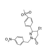 CCC1CC(=O)N(Cc2ccc([N+](=O)[O-])cc2)N=C1c1ccc(S(C)(=O)=O)cc1